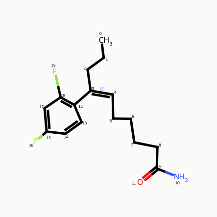 CCC/C(=C/CCCCC(N)=O)c1ccc(F)cc1F